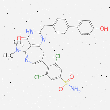 CN(C)C1=NC=C(c2c(Cl)cc(S(N)(=O)=O)cc2Cl)Cc2nc(Cc3ccc(-c4ccc(O)cc4)cc3)[nH]c(=O)c21